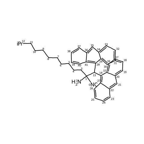 [C-]#[N+]C(N)(CCCCCCCCCC(C)C)C(c1c2ccccc2cc2ccccc12)c1c2ccccc2cc2ccccc12